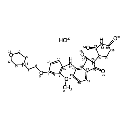 COc1cc(OCCN2CCOCC2)ccc1Nc1cccc2c1C(=O)N(C1CCC(=O)NC1=O)C2=O.Cl